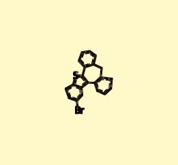 Brc1ccc2sc3c(c2c1)-c1ccccc1Cc1ccccc1-3